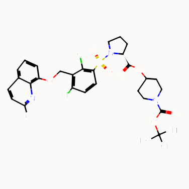 Cc1ccc2cccc(OCc3c(Cl)ccc(S(=O)(=O)N4CCC[C@H]4C(=O)OC4CCN(C(=O)OC(C)(C)C)CC4)c3Cl)c2n1